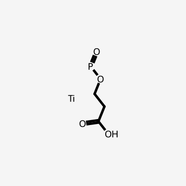 O=POCCC(=O)O.[Ti]